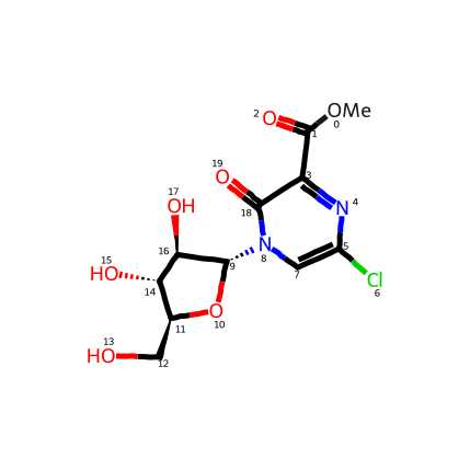 COC(=O)c1nc(Cl)cn([C@@H]2O[C@@H](CO)[C@H](O)[C@H]2O)c1=O